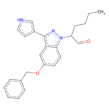 CCCCC(C=O)n1nc(-c2cc[nH]c2)c2cc(OCc3ccccc3)ccc21